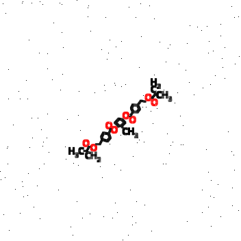 C=C(C)C(=O)OCCc1ccc(C(=O)Oc2ccc(OC(=O)c3ccc(CCOC(=O)C(=C)C)cc3)c(C)c2)cc1